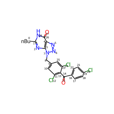 CCCCc1nc2c(nnn2Cc2cc(Cl)c(C(=O)c3ccc(Cl)cc3)c(Cl)c2)c(=O)[nH]1